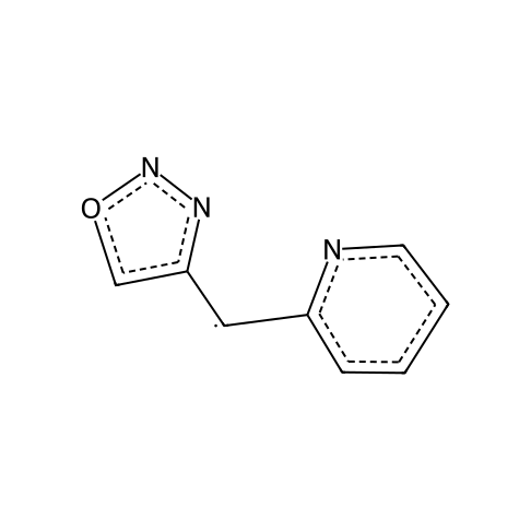 [CH](c1ccccn1)c1conn1